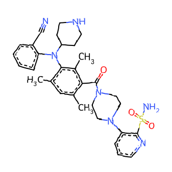 Cc1cc(C)c(N(c2ccccc2C#N)C2CCNCC2)c(C)c1C(=O)N1CCN(c2cccnc2S(N)(=O)=O)CC1